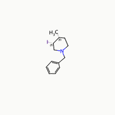 C[C@@H]1CCN(Cc2ccccc2)C[C@@H]1I